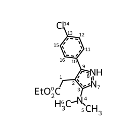 CCOC(=O)Cc1c(N(C)C)n[nH]c1-c1ccc(Cl)cc1